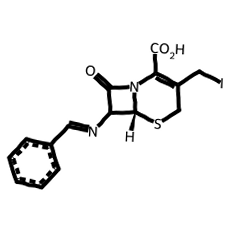 O=C(O)C1=C(CI)CS[C@@H]2C(/N=C/c3ccccc3)C(=O)N12